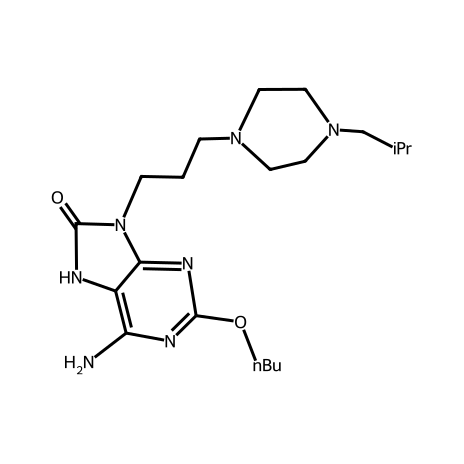 CCCCOc1nc(N)c2[nH]c(=O)n(CCCN3CCN(CC(C)C)CC3)c2n1